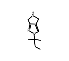 CCC(C)(C)n1cc2c(n1)CNC2